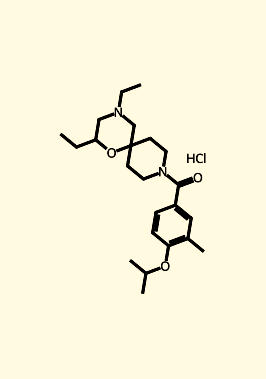 CCC1CN(CC)CC2(CCN(C(=O)c3ccc(OC(C)C)c(C)c3)CC2)O1.Cl